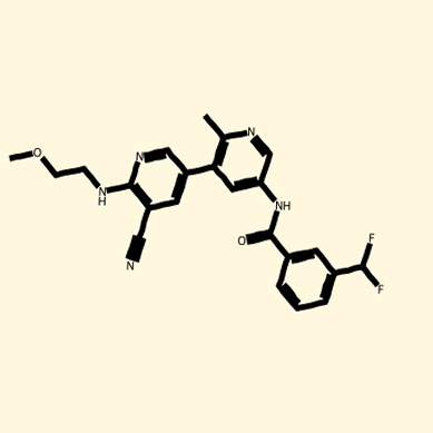 COCCNc1ncc(-c2cc(NC(=O)c3cccc(C(F)F)c3)cnc2C)cc1C#N